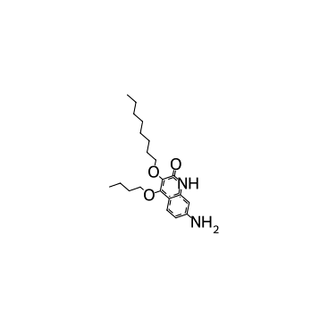 CCCCCCCCOc1c(OCCCC)c2ccc(N)cc2[nH]c1=O